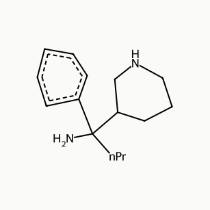 CCCC(N)(c1ccccc1)C1CCCNC1